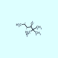 CCCC([O-])C(C)(C)C.[K+]